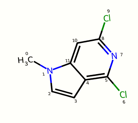 Cn1ccc2c(Cl)nc(Cl)cc21